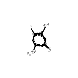 Oc1cc(F)c(NC(F)(F)F)cc1F